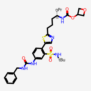 CCC[C@@H](CCCc1ncc(-c2ccc(NC(=O)NCc3ccccc3)cc2S(=O)(=O)NC(C)(C)C)s1)NC(=O)OC1COC1